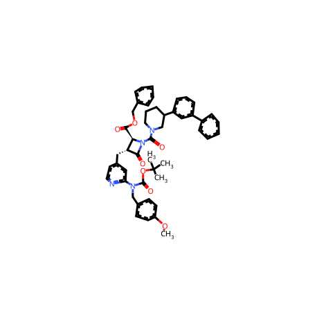 COc1ccc(CN(C(=O)OC(C)(C)C)c2cc(C[C@H]3C(=O)N(C(=O)N4CCCC(c5cccc(-c6ccccc6)c5)C4)[C@@H]3C(=O)OCc3ccccc3)ccn2)cc1